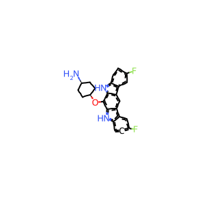 N[C@H]1CC[C@@H](Oc2c3[nH]c4ccc(F)cc4c3cc3c2[nH]c2ccc(F)cc23)CC1